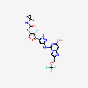 COc1cc2nc(COC(F)(F)F)cn2c(Nc2cc([C@H]3OC[C@@H](OC(=O)NC4(C)CC4)[C@@H]3F)[nH]n2)n1